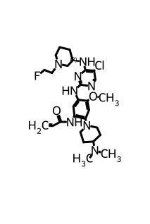 C=CC(=O)Nc1cc(Nc2ncc(Cl)c(N[C@@H]3CCCN(CCF)C3)n2)c(OC)cc1N1CCC(N(C)C)CC1